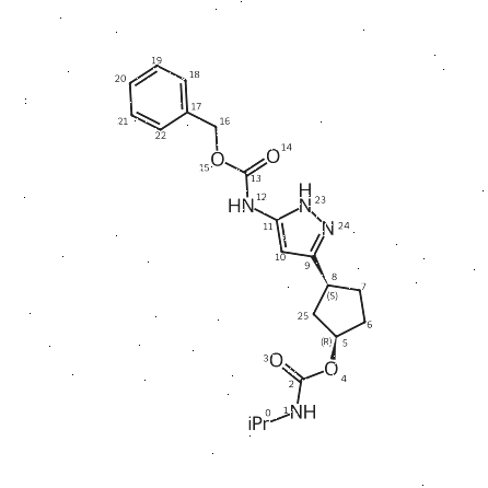 CC(C)NC(=O)O[C@@H]1CC[C@H](c2cc(NC(=O)OCc3ccccc3)[nH]n2)C1